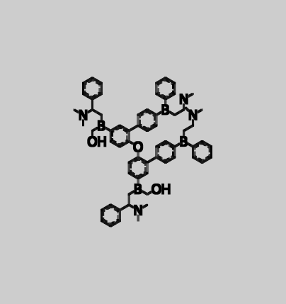 CN(C)CCB(c1ccccc1)c1ccc(-c2cc(B(CO)CC(c3ccccc3)N(C)C)ccc2Oc2ccc(B(CO)CC(c3ccccc3)N(C)C)cc2-c2ccc(B(CCN(C)C)c3ccccc3)cc2)cc1